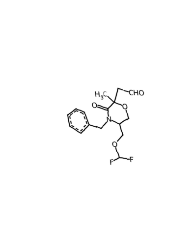 CC1(CC=O)OCC(COC(F)F)N(Cc2ccccc2)C1=O